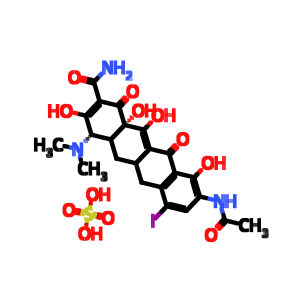 CC(=O)Nc1cc(I)c2c(c1O)C(=O)C1=C(O)[C@]3(O)C(=O)C(C(N)=O)=C(O)[C@@H](N(C)C)C3CC1C2.O=S(=O)(O)O